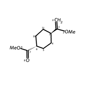 C=C(OC)[C@H]1CC[C@H](C(=O)OC)CC1